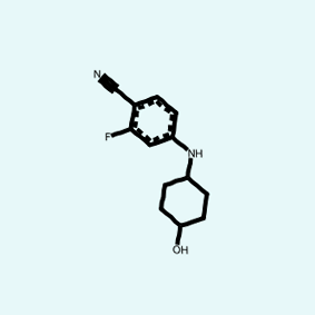 N#Cc1ccc(NC2CCC(O)CC2)cc1F